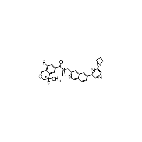 C[C@@]1(F)COCc2c(F)cc(C(=O)NCc3cc4cc(-c5cncc(N6CCC6)n5)ccc4cn3)cc21